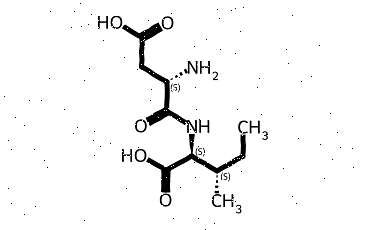 CC[C@H](C)[C@H](NC(=O)[C@@H](N)CC(=O)O)C(=O)O